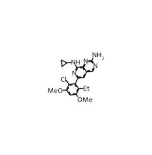 CCc1c(OC)cc(OC)c(Cl)c1-c1cc2cnc(N)nc2c(NC2CC2)n1